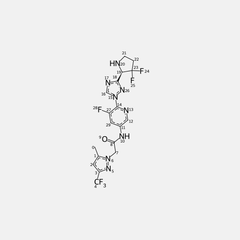 Cc1cc(C(F)(F)F)nn1CC(=O)Nc1cnc(-n2cnc([C@H]3NCCC3(F)F)n2)c(F)c1